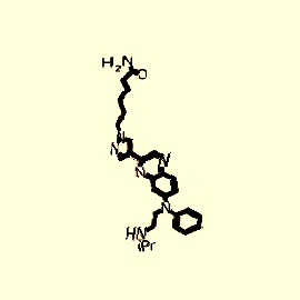 CC(C)NCCN(c1ccccc1)c1ccc2ncc(-c3cnn(CCCCCC(N)=O)c3)nc2c1